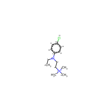 CCN(CC[N+](C)(C)C)c1ccc(Cl)cc1